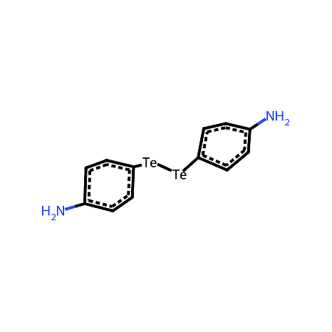 Nc1ccc([Te][Te]c2ccc(N)cc2)cc1